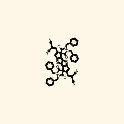 N#CC(C#N)=CC1=Cc2sc3c4c(sc3c2C1(C(=O)OCc1ccccc1)C(=O)OCc1ccccc1)C=C(C=C(C#N)C#N)C4(C(=O)OCc1ccccc1)C(=O)OCc1ccccc1